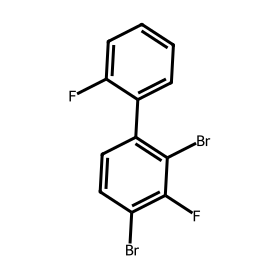 Fc1ccccc1-c1ccc(Br)c(F)c1Br